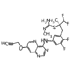 C#CCOc1cnc2c(Nc3cc(F)c(F)c(C[C@@](C)(S/C(N)=N\C)C(F)F)c3)ncnc2c1